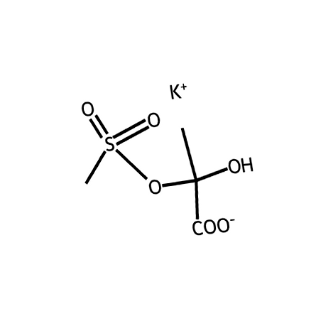 CC(O)(OS(C)(=O)=O)C(=O)[O-].[K+]